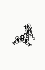 CC(C)COC(=O)Oc1ccc(C[C@H](N)C(=O)O[C@@H](C)C(C)OC(=O)C(C)(C)C)cc1OC(=O)OCC(C)C